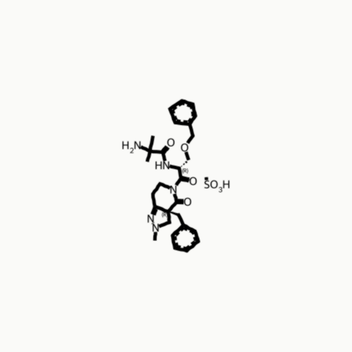 CN1C[C@@]2(Cc3ccccc3)C(=O)N(C(=O)[C@@H](COCc3ccccc3)NC(=O)C(C)(C)N)CCC2=N1.CS(=O)(=O)O